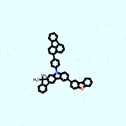 CC1(C)c2ccccc2-c2cc3c4cc(-c5ccc6oc7ccccc7c6c5)ccc4n(-c4ccc(-c5ccc6c7c(cccc57)-c5ccccc5-6)cc4)c3cc21